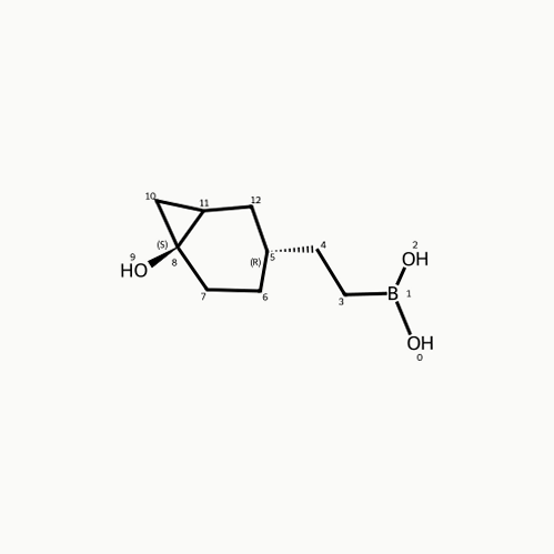 OB(O)CC[C@@H]1CC[C@]2(O)CC2C1